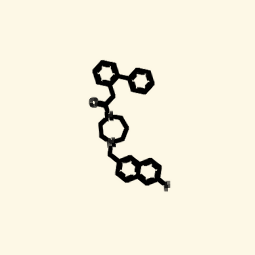 O=C(Cc1ccccc1-c1ccccc1)N1CCCN(Cc2ccc3cc(F)ccc3c2)CC1